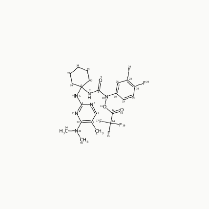 Cc1cnc(NC2(NC(=O)N(OC(=O)C(F)(F)F)c3ccc(F)c(F)c3)CCCCC2)nc1N(C)C